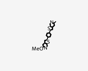 COc1cc2cc(-c3ccc(-c4cc5cc(C)ncc5s4)cc3)sc2cn1